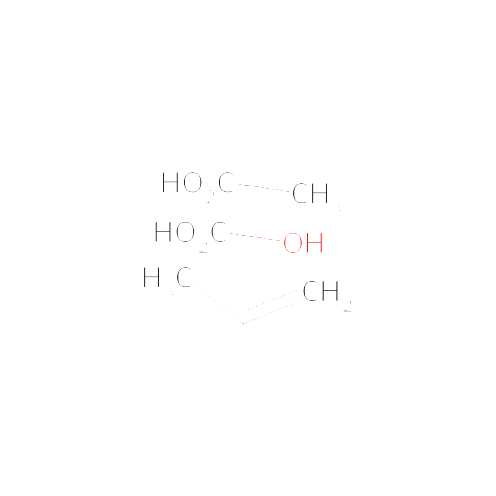 C=CC.CC(=O)O.O=C(O)O